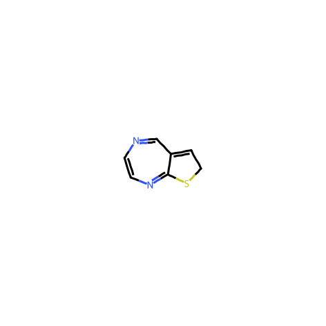 C1=CN=C2SCC=C2C=N1